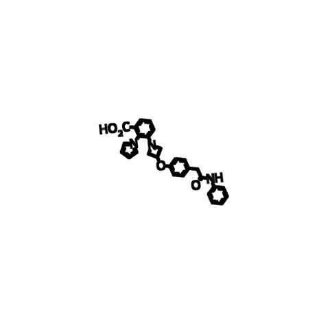 O=C(Cc1ccc(OC2CN(c3cccc(C(=O)O)c3-n3cccc3)C2)cc1)Nc1ccccc1